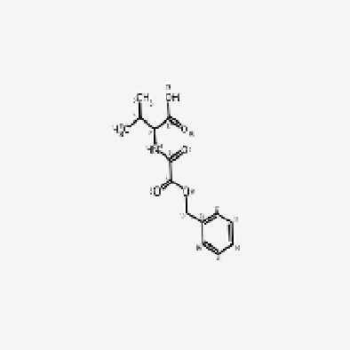 CC(C)[C@H](NC(=O)C(=O)OCc1ccccc1)C(=O)O